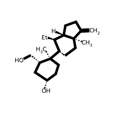 C=C1CC[C@H]2[C@H](CC)[C@@H]([C@@]3(C)CC[C@H](O)C[C@@H]3CO)CC[C@]12C